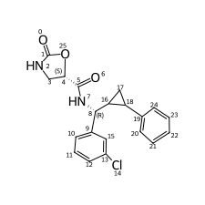 O=C1NC[C@@H](C(=O)N[C@@H](c2cccc(Cl)c2)C2CC2c2ccccc2)O1